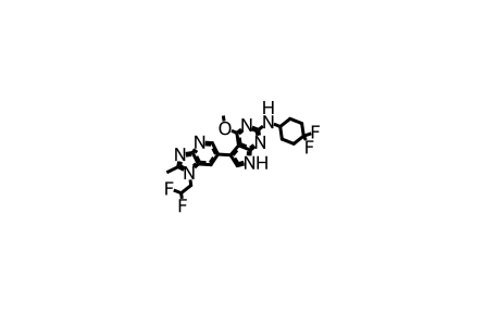 COc1nc(NC2CCC(F)(F)CC2)nc2[nH]cc(-c3cnc4nc(C)n(CC(F)F)c4c3)c12